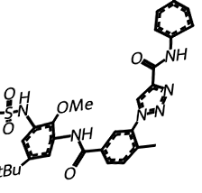 COc1c(NC(=O)c2ccc(C)c(-n3cc(C(=O)Nc4ccc(C)cc4)nn3)c2)cc(C(C)(C)C)cc1NS(C)(=O)=O